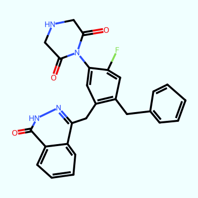 O=C1CNCC(=O)N1c1cc(Cc2n[nH]c(=O)c3ccccc23)c(Cc2ccccc2)cc1F